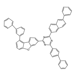 c1ccc(-c2ccc(-c3nc(-c4ccc5cc(-c6ccccc6)ccc5c4)nc(-c4ccc5c(c4)oc4cccc(-c6cccc(-c7ccccc7)c6)c45)n3)cc2)cc1